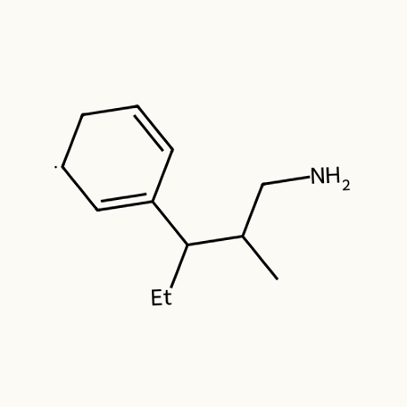 CCC(C1=C[CH]CC=C1)C(C)CN